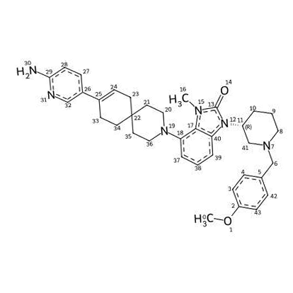 COc1ccc(CN2CCC[C@@H](n3c(=O)n(C)c4c(N5CCC6(CC=C(c7ccc(N)nc7)CC6)CC5)cccc43)C2)cc1